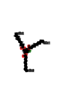 CCCCCCCC/C=C\CCCCCCCC(=O)OCC(CBr)(COC(=O)CCCCCCC/C=C\CCCCCCCC)COC(=O)CCCCCCC/C=C\CCCCCCCC